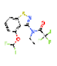 CCN(C(=O)C(F)(F)F)c1nsc2cccc(OC(F)F)c12